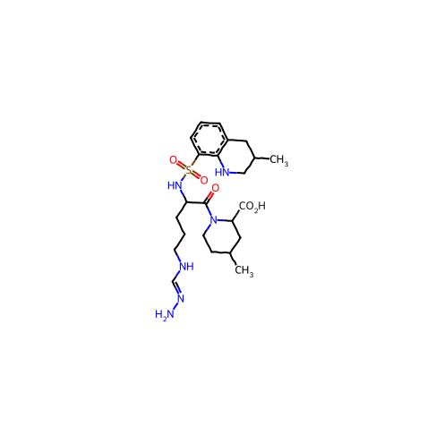 CC1CNc2c(cccc2S(=O)(=O)NC(CCCNC=NN)C(=O)N2CCC(C)CC2C(=O)O)C1